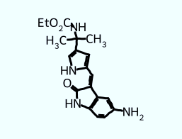 CCOC(=O)NC(C)(C)c1c[nH]c(/C=C2\C(=O)Nc3ccc(N)cc32)c1